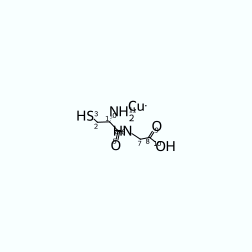 N[C@@H](CS)C(=O)NCC(=O)O.[Cu]